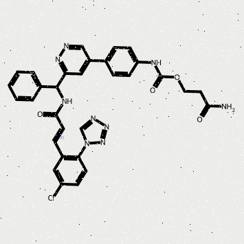 NC(=O)CCOC(=O)Nc1ccc(-c2cnnc(C(NC(=O)/C=C/c3cc(Cl)ccc3-n3cnnn3)c3ccccc3)c2)cc1